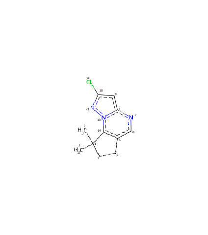 CC1(C)CCc2cnc3cc(Cl)nn3c21